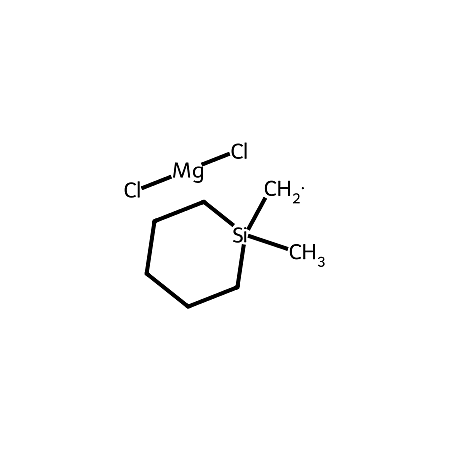 [CH2][Si]1(C)CCCCC1.[Cl][Mg][Cl]